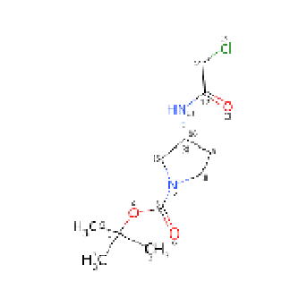 CC(C)(C)OC(=O)N1CC[C@@H](NC(=O)CCl)C1